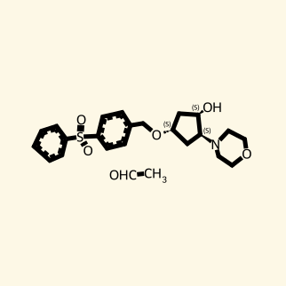 CC=O.O=S(=O)(c1ccccc1)c1ccc(CO[C@@H]2C[C@H](O)[C@@H](N3CCOCC3)C2)cc1